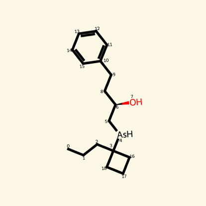 CCCC1([AsH]C[C@H](O)[CH]Cc2ccccc2)CCC1